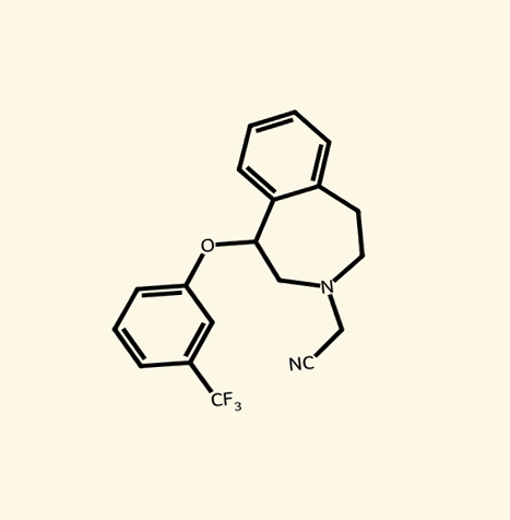 N#CCN1CCc2ccccc2C(Oc2cccc(C(F)(F)F)c2)C1